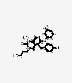 Cn1c(=O)n(CCCO)c(=O)c2c(Cc3ccc(Cl)cc3)c(Oc3cccc(Cl)c3)ncc21